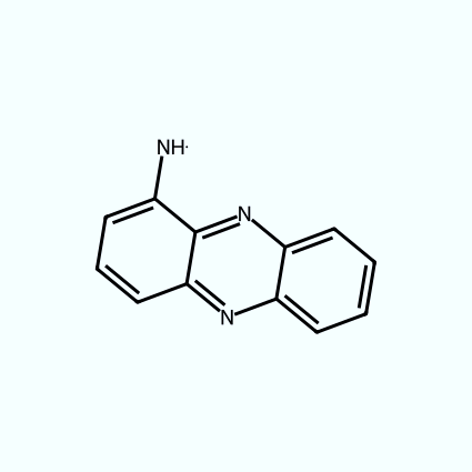 [NH]c1cccc2nc3ccccc3nc12